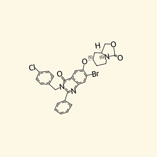 O=C1OC[C@@H]2C[C@@H](Oc3cc4c(=O)n(Cc5ccc(Cl)cc5)c(-c5ccccc5)nc4cc3Br)CCN12